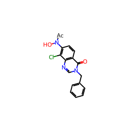 CC(=O)N(O)c1ccc2c(=O)n(Cc3ccccc3)cnc2c1Cl